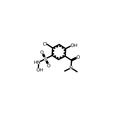 CN(C)C(=O)c1cc(S(=O)(=O)NO)c(Cl)cc1O